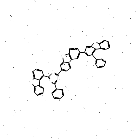 c1ccc(-c2nc(-c3ccc4c(c3)oc3ccc(-c5cc(-c6ccccc6)c6c(c5)sc5ccccc56)cc34)nc(-c3cccc4oc5ccccc5c34)n2)cc1